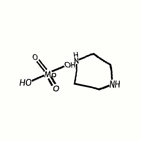 C1CNCCN1.[O]=[Mo](=[O])([OH])[OH]